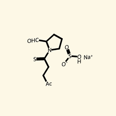 CC(=O)CCC(=S)N1CCCC1C=O.O=S([O-])O.[Na+]